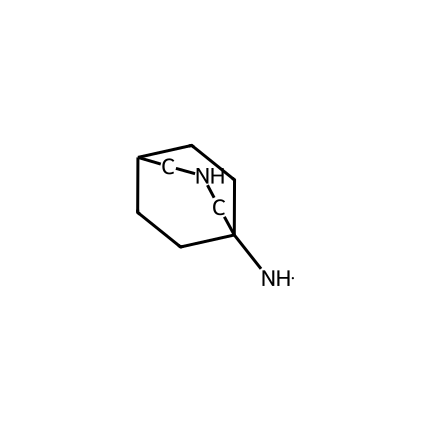 [NH]C12CCC(CC1)CNC2